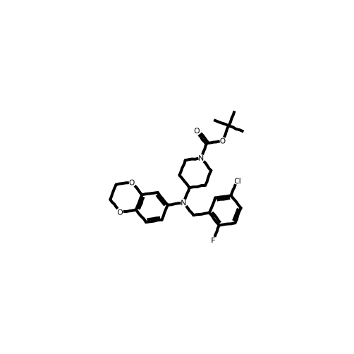 CC(C)(C)OC(=O)N1CCC(N(Cc2cc(Cl)ccc2F)c2ccc3c(c2)OCCO3)CC1